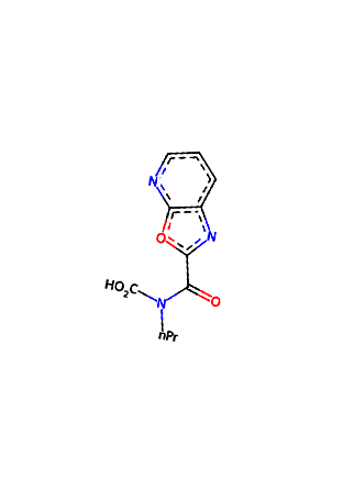 CCCN(C(=O)O)C(=O)c1nc2cccnc2o1